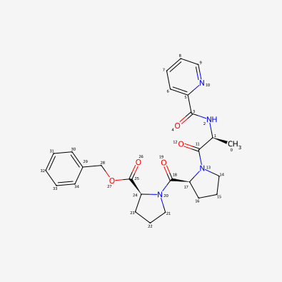 C[C@H](NC(=O)c1ccccn1)C(=O)N1CCC[C@H]1C(=O)N1CCC[C@H]1C(=O)OCc1ccccc1